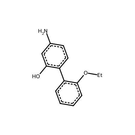 CCOc1ccccc1-c1ccc(N)cc1O